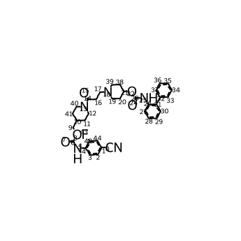 N#Cc1ccc(NC(=O)OCC2CCN(C(=O)CCN3CCC(OC(=O)Nc4ccccc4-c4ccccc4)CC3)CC2)c(F)c1